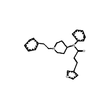 O=C(CCc1ccoc1)N(c1ccccc1)C1CCN(CCc2ccccc2)CC1